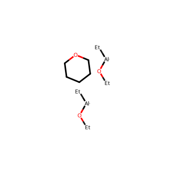 C1CCOCC1.CC[O][Al][CH2]C.CC[O][Al][CH2]C